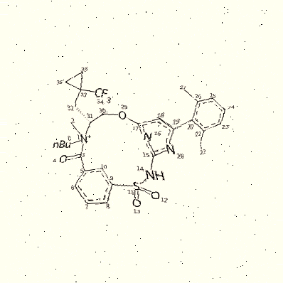 CCCC[N+]1(C)C(=O)c2cccc(c2)S(=O)(=O)Nc2nc(cc(-c3c(C)cccc3C)n2)OC[C@H]1CC1(C(F)(F)F)CC1